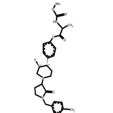 Cc1ccc(CN2CCC(N3CC[C@@H](c4ccc(OC(=O)C(C)NC(=O)OC(C)(C)C)cc4)[C@H](F)C3)C2=O)cc1